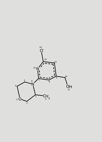 CC1COCCN1c1cc(CO)cc(Cl)n1